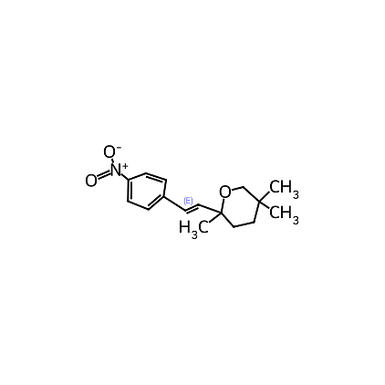 CC1(C)CCC(C)(/C=C/c2ccc([N+](=O)[O-])cc2)OC1